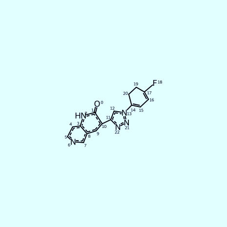 O=c1[nH]c2ccncc2cc1-c1cn(C2=CC=C(F)CC2)nn1